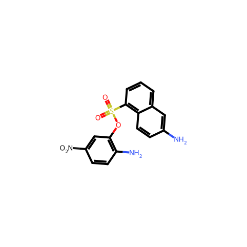 Nc1ccc2c(S(=O)(=O)Oc3cc([N+](=O)[O-])ccc3N)cccc2c1